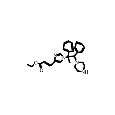 CCOC(=O)C=Cc1cn(C(C)(c2ccccc2)C(c2ccccc2)N2CCNCC2)cn1